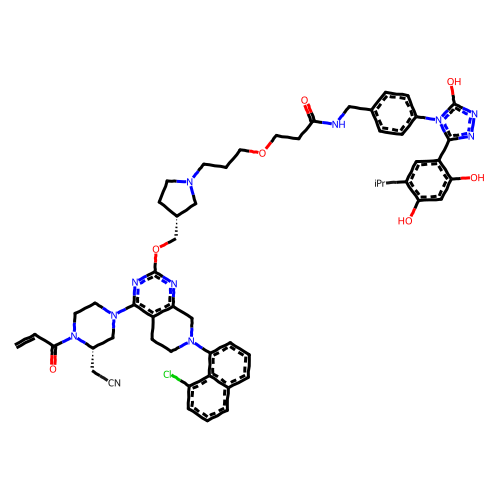 C=CC(=O)N1CCN(c2nc(OC[C@@H]3CCN(CCCOCCC(=O)NCc4ccc(-n5c(O)nnc5-c5cc(C(C)C)c(O)cc5O)cc4)C3)nc3c2CCN(c2cccc4cccc(Cl)c24)C3)C[C@@H]1CC#N